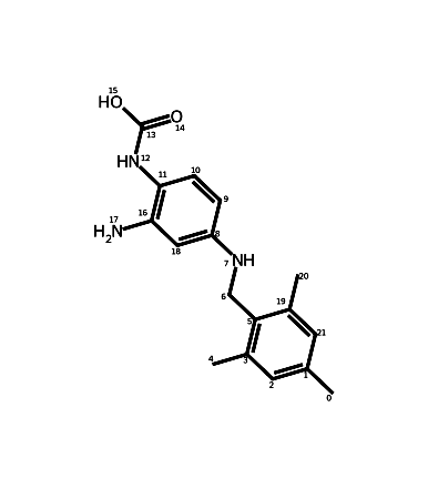 Cc1cc(C)c(CNc2ccc(NC(=O)O)c(N)c2)c(C)c1